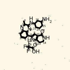 Cc1nc2cccc(-c3cc4c([nH]3)CCNC4=O)c2nc1NC1CCCC(N)C1.O=C(O)C(F)(F)F